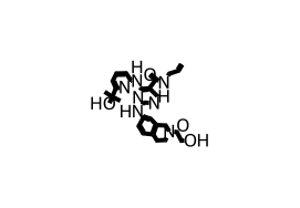 C=CCNC(=O)c1cnc(Nc2ccc3c(c2)CN(C(=O)CO)CC3)nc1Nc1cccc(C(C)(C)O)n1